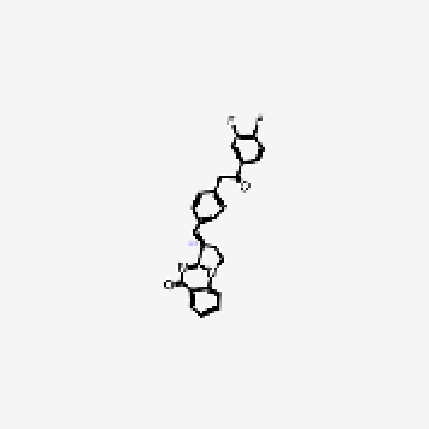 O=C(Cc1ccc(/C=C2\CCn3c2nc(=O)c2ccccc23)cc1)c1ccc(F)c(F)c1